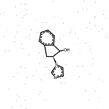 OC1c2ccccc2C[C@@H]1n1ccnc1